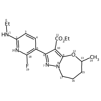 CCNc1ccc(-c2nn3c(c2C(=O)OCC)OC(C)CCC3)c(F)n1